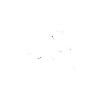 CC1(C)[C@H](C(=O)OCc2ccccc2)N2C(=O)C[C@H]2[S@@]1(CO)C(=O)N(CC(N)=O)Cc1ccccc1